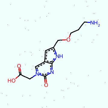 NCCCOCc1cc2cn(CC(=O)O)c(=O)nc2[nH]1